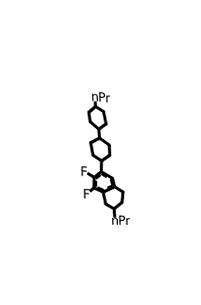 CCCC1CCC(C2CCC(c3cc4c(c(F)c3F)CC(CCC)CC4)CC2)CC1